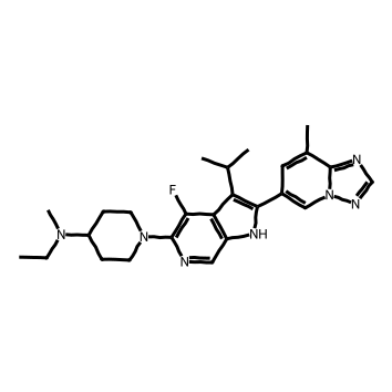 CCN(C)C1CCN(c2ncc3[nH]c(-c4cc(C)c5ncnn5c4)c(C(C)C)c3c2F)CC1